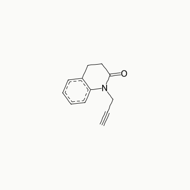 C#CCN1C(=O)CCc2ccccc21